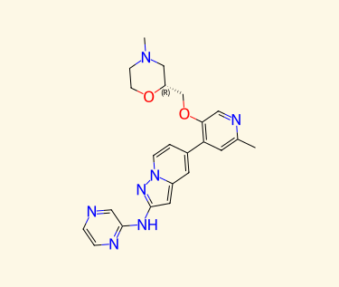 Cc1cc(-c2ccn3nc(Nc4cnccn4)cc3c2)c(OC[C@H]2CN(C)CCO2)cn1